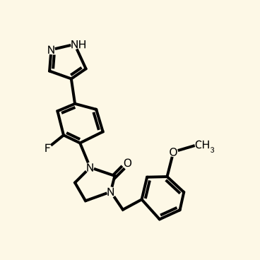 COc1cccc(CN2CCN(c3ccc(-c4cn[nH]c4)cc3F)C2=O)c1